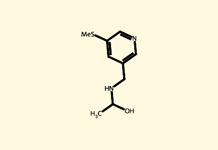 CSc1cncc(CNC(C)O)c1